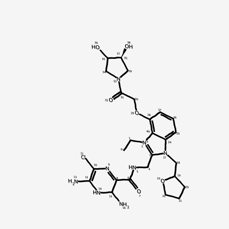 CC[n+]1c(CNC(=O)C2=NC(Cl)=C(N)NC2N)n(CC2CCCO2)c2cccc(OCC(=O)N3CC(O)[C@@H](O)C3)c21